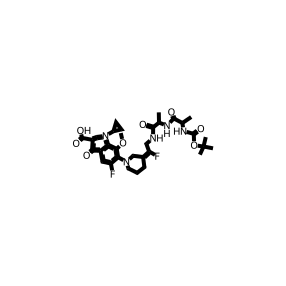 COc1c(N2CCC/C(=C(\F)CNC(=O)C(C)NC(=O)C(C)NC(=O)OC(C)(C)C)C2)c(F)cc2c(=O)c(C(=O)O)cn(C3CC3)c12